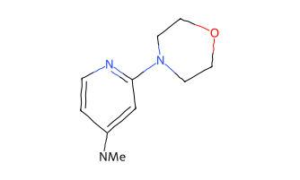 CNc1ccnc(N2CCOCC2)c1